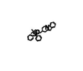 CC(C)(C)[Si](OCC1CCn2c(cc3ccccc32)C1)(c1ccccc1)c1ccccc1